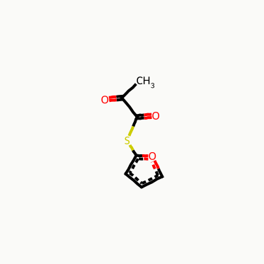 CC(=O)C(=O)Sc1ccco1